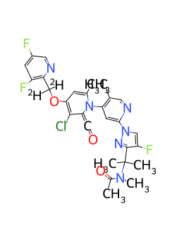 [2H]C([2H])(OC1=C(Cl)C(=C=O)N(c2cc(-n3cc(F)c(C(C)(C)N(C)C(C)=O)n3)ncc2C)C(C)=C1)c1ncc(F)cc1F